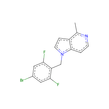 Cc1nccc2c1ccn2Cc1c(F)cc(Br)cc1F